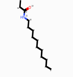 CCCCCCCCCCCNC(=O)CC